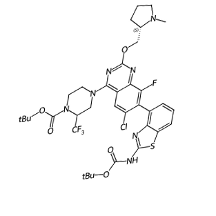 CN1CCC[C@H]1COc1nc(N2CCN(C(=O)OC(C)(C)C)C(C(F)(F)F)C2)c2cc(Cl)c(-c3cccc4sc(NC(=O)OC(C)(C)C)nc34)c(F)c2n1